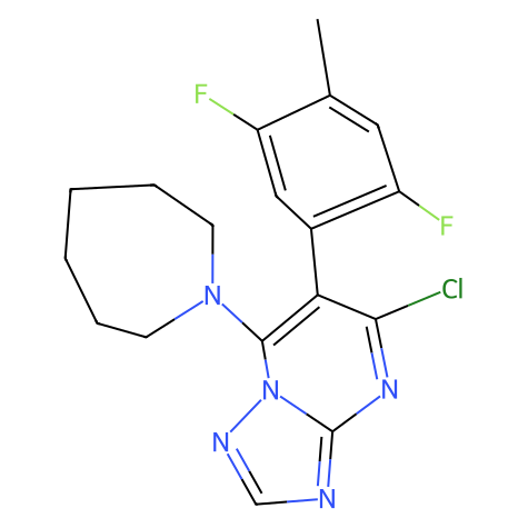 Cc1cc(F)c(-c2c(Cl)nc3ncnn3c2N2CCCCCC2)cc1F